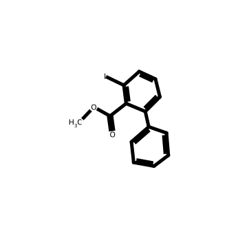 COC(=O)c1c(I)cccc1-c1ccccc1